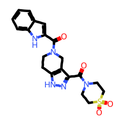 O=C(c1cc2ccccc2[nH]1)N1CCc2[nH]nc(C(=O)N3CCS(=O)(=O)CC3)c2C1